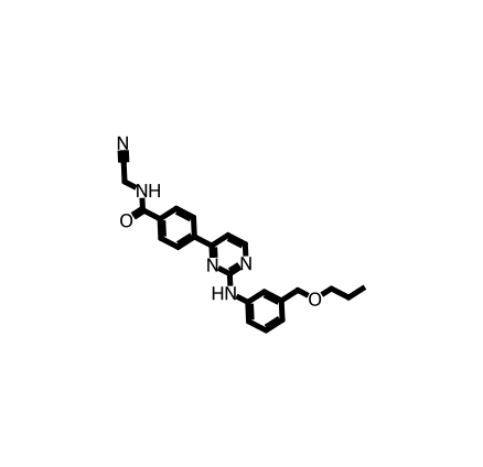 CCCOCc1cccc(Nc2nccc(-c3ccc(C(=O)NCC#N)cc3)n2)c1